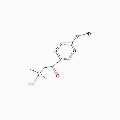 CCCOc1ccc(C(=O)CC(C)(C)O)cc1